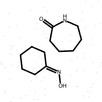 O=C1CCCCCN1.ON=C1CCCCC1